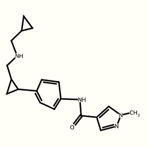 Cn1cc(C(=O)Nc2ccc(C3CC3CNCC3CC3)cc2)cn1